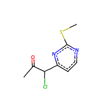 CSc1nccc(C(Cl)C(C)=O)n1